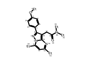 CCOc1ccc(-c2nn3c(CC)cc(CC)nc3c2CC(=O)N(CC)CC)cc1